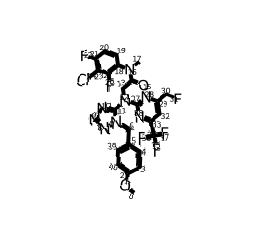 COc1ccc(Cn2nnnc2N(CC(=O)N(C)c2ccc(F)c(Cl)c2F)c2nc(CF)cc(C(F)(F)F)n2)cc1